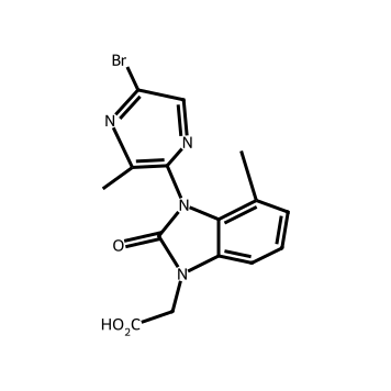 Cc1nc(Br)cnc1-n1c(=O)n(CC(=O)O)c2cccc(C)c21